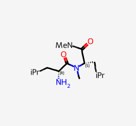 CNC(=O)[C@H](CC(C)C)N(C)C(=O)[C@H](N)CC(C)C